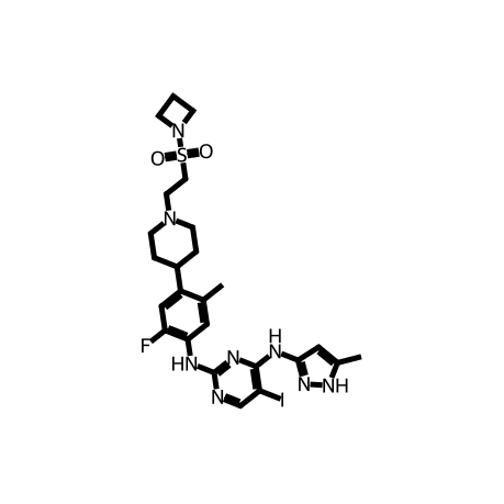 Cc1cc(Nc2nc(Nc3cc(C)c(C4CCN(CCS(=O)(=O)N5CCC5)CC4)cc3F)ncc2I)n[nH]1